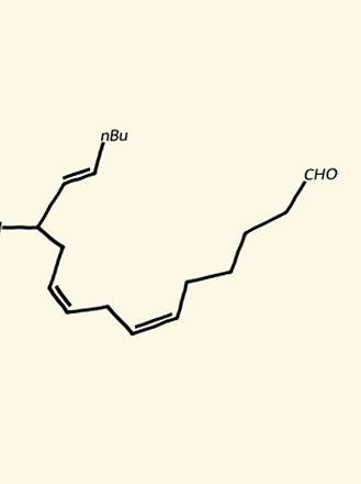 CCCC/C=C/C(C/C=C\C/C=C\CCCC[C]=O)[N+](=O)[O-]